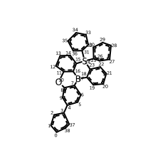 c1ccc(-c2ccc3c(c2)Oc2cccc4c2B3c2ccccc2S4(c2ccccc2)c2ccccc2)cc1